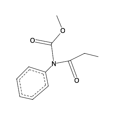 CCC(=O)N(C(=O)OC)c1ccccc1